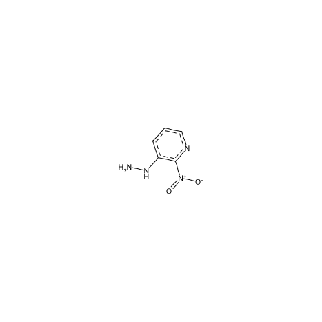 NNc1cccnc1[N+](=O)[O-]